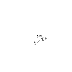 N#CCl.[CaH2]